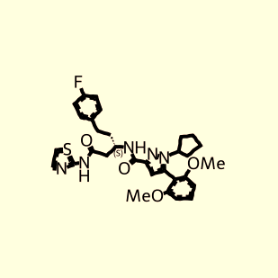 COc1cccc(OC)c1-c1cc(C(=O)N[C@@H](CCc2ccc(F)cc2)CC(=O)Nc2nccs2)nn1C1CCCC1